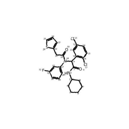 O=C(NC1CCCCC1)C(c1cc(Cl)ccc1Cl)N(C(=O)Cc1cccs1)c1cccc(F)c1